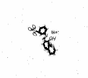 O=S(=O)([O-])c1cccc(N=Nc2ccc3cccnc3c2O)c1.[Na+]